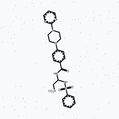 O=C(O)CC(NC(=O)c1ccc(N2CCN(c3ncccn3)CC2)cc1)NS(=O)(=O)c1ccccc1